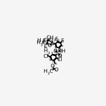 CC(=O)OCc1cc(Cl)cc(S(=O)(=O)Nc2cc(F)c(F)c(B3OC(C)(C)C(C)(C)O3)c2)c1Cl